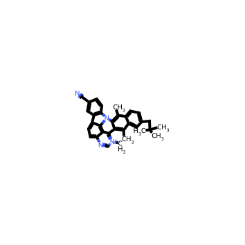 Cc1c2cc(CC(C)(C)C)ccc2c(C)c2c1c1c3c(ccc4c5cc(C#N)ccc5n2c43)nc[n+]1C